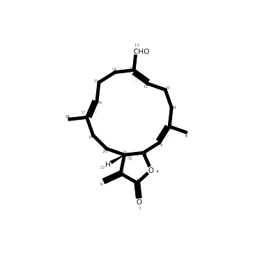 C=C1C(=O)OC2/C=C(/C)CC/C=C(\C=O)CC/C=C(\C)CC[C@@H]12